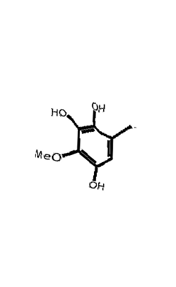 [CH2]c1cc(O)c(OC)c(O)c1O